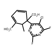 CC1C(C(=O)O)=CC=CC1(C(=O)O)c1nc(F)nc(F)c1Cl